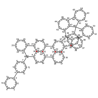 c1ccc(-c2ccc(N(c3ccc(-c4ccccc4)cc3)c3ccccc3-c3ccc(-c4ccc5c6ccccc6n(-c6cccc7c6C(c6ccccc6)(c6ccccc6)c6ccccc6-7)c5c4)cc3)cc2)cc1